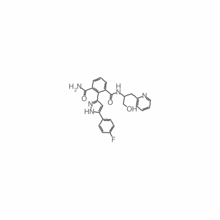 NC(=O)c1cccc(C(=O)NC(CO)Cc2ccccn2)c1-c1cc(-c2ccc(F)cc2)[nH]n1